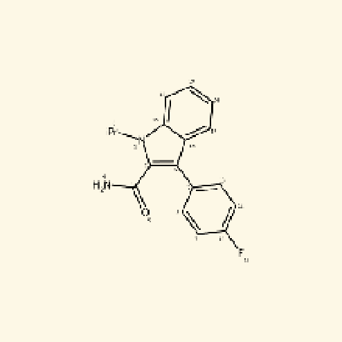 CC(C)n1c(C(N)=O)c(-c2ccc(F)cc2)c2ccccc21